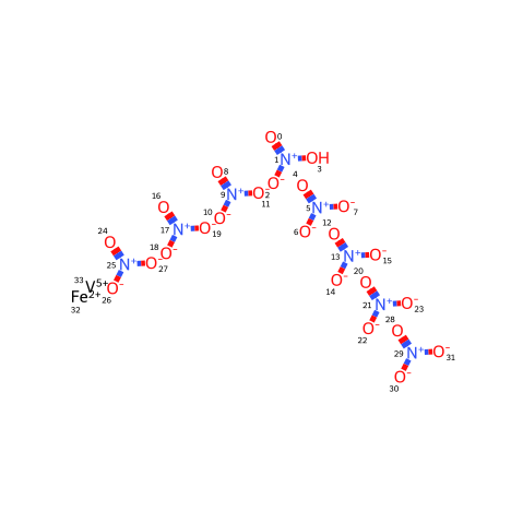 O=[N+]([O-])O.O=[N+]([O-])[O-].O=[N+]([O-])[O-].O=[N+]([O-])[O-].O=[N+]([O-])[O-].O=[N+]([O-])[O-].O=[N+]([O-])[O-].O=[N+]([O-])[O-].[Fe+2].[V+5]